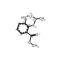 COC(=O)c1cccc(C)c1SN(C)C